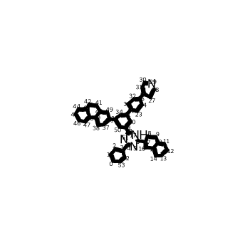 c1ccc(C2=NC(c3ccc4ccccc4c3)NC(c3cc(-c4ccc(-c5ccncc5)cc4)cc(-c4ccc5c(ccc6ccccc65)c4)c3)=N2)cc1